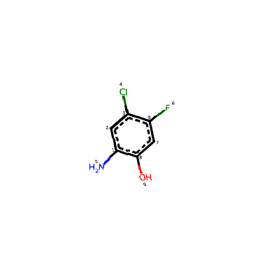 Nc1cc(Cl)c(F)cc1O